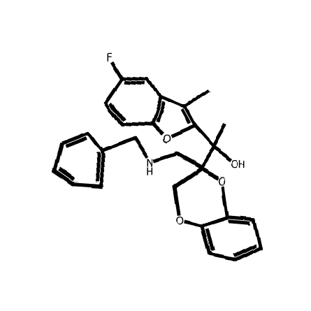 Cc1c(C(C)(O)C2(CNCc3ccccc3)COc3ccccc3O2)oc2ccc(F)cc12